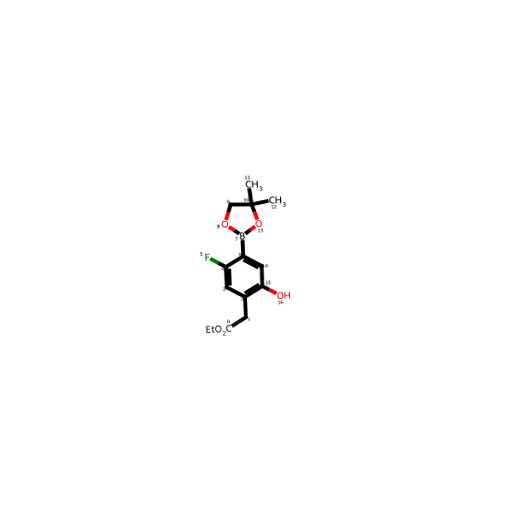 CCOC(=O)Cc1cc(F)c(B2OCC(C)(C)O2)cc1O